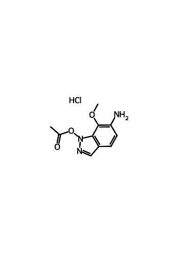 COc1c(N)ccc2cnn(OC(C)=O)c12.Cl